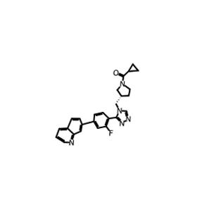 O=C(C1CC1)N1CC[C@H](Cn2cnnc2-c2ccc(-c3ccc4cccnc4c3)cc2F)C1